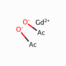 CC(=O)[O-].CC(=O)[O-].[Gd+2]